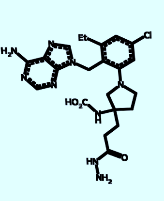 CCc1cc(Cl)cc(N2CCC(CCC(=O)NN)(NC(=O)O)C2)c1Cn1cnc2c(N)ncnc21